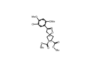 COc1cc(OC)c(C2=NO[C@]3(C2)C[C@@H](C(=O)OC(C)(C)C)N(C(=O)OC(C)(C)C)C3)cc1Cl